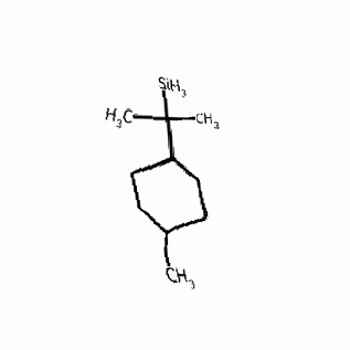 CC1CCC(C(C)(C)[SiH3])CC1